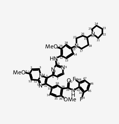 COc1ccn2c(-c3ccnc(Nc4ccc(N5CCC(N6CCCCC6)CC5)cc4OC)n3)c(-c3ccc(OC)c(C(=O)Nc4c(F)cccc4F)c3)nc2c1